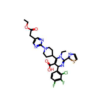 CCOC(=O)Cc1cnc(N2CCC(C3=C(C(=O)O)C(c4ccc(F)c(F)c4Cl)N=C(c4nccs4)N3CC)CC2)nc1